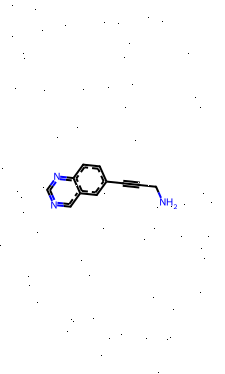 NCC#Cc1ccc2ncncc2c1